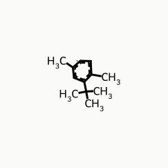 Cc1[c]cc(C)c(C(C)(C)C)c1